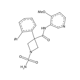 COc1ccncc1NC(=O)C1(c2ccccc2C(C)C)CN(S(N)(=O)=O)C1